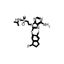 CC(C)NS(=O)(=O)CCn1c(Sc2cc3c(cc2I)CCC3F)nc2c(N)ncnc21